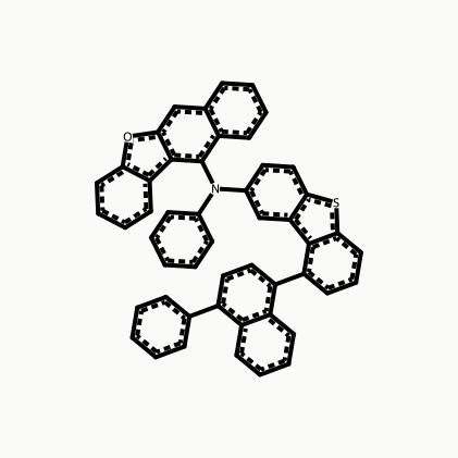 c1ccc(-c2ccc(-c3cccc4sc5ccc(N(c6ccccc6)c6c7ccccc7cc7oc8ccccc8c67)cc5c34)c3ccccc23)cc1